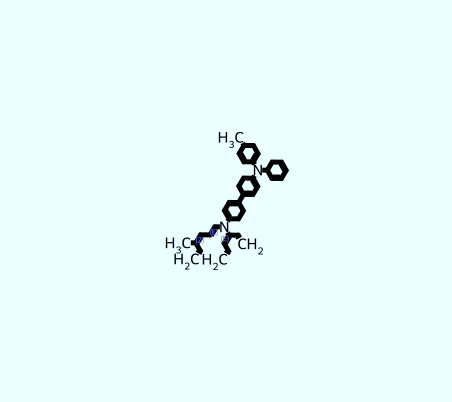 C=C/C=C(\C=C)N(/C=C/C=C(/C)C=C)C1=CC=C(C2=CC=C(N(C3=CCC(C)C=C3)C3C=CC=CC3)CC2)CC1